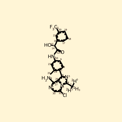 [2H]C([2H])([2H])c1nc(-c2ccc(NC(=O)[C@@H](O)c3cccc(C(F)(F)F)c3)cc2C)c2c(N)ncc(Cl)n12